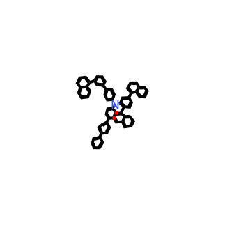 c1ccc(-c2ccc(-c3ccc(N(c4ccc(-c5cccc(-c6cccc7ccccc67)c5)cc4)c4cc(-c5cccc6ccccc56)ccc4-c4cccc5ccccc45)cc3)cc2)cc1